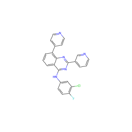 Fc1ccc(Nc2nc(-c3cccnc3)nc3c(-c4ccncc4)cccc23)cc1Cl